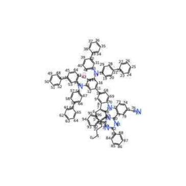 CCCCc1ccc2c3cc(-c4cc5c6c(c4)N(c4ccc(-c7ccccc7)cc4)c4cc(-c7ccccc7)ccc4B6c4ccc(-c6ccccc6)cc4N5c4ccc(-c5ccccc5)cc4)ccc3n(-c3ccc(C#N)cc3-c3nc(-c4ccccc4)nc(-c4ccccc4)n3)c2c1